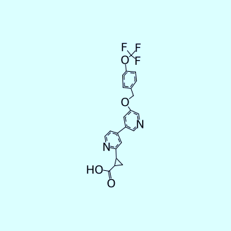 O=C(O)C1CC1c1cc(-c2cncc(OCc3ccc(OC(F)(F)F)cc3)c2)ccn1